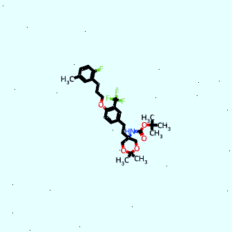 Cc1ccc(F)c(CCCOc2ccc(CCC3(NC(=O)OC(C)(C)C)COC(C)(C)OC3)cc2C(F)(F)F)c1